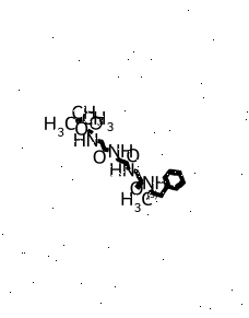 C[C@@H](Cc1ccccc1)NC(=O)CNC(=O)CNC(=O)CNC(=O)OC(C)(C)C